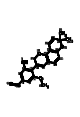 COc1cc(N=O)cc(O)c1C1=Cc2ccc3c(c2OC1)C=CC(C)(C)O3